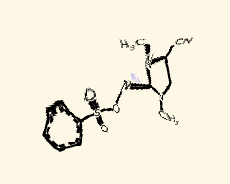 CN1CC(C#N)N(C)/C1=N/OS(=O)(=O)c1ccccc1